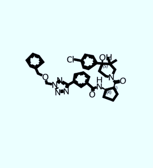 CC1(C)CN(C(=O)[C@H]2CCC[C@H]2NC(=O)c2cccc(-c3nnn(COCc4ccccc4)n3)c2)CC[C@]1(O)c1ccc(Cl)cc1